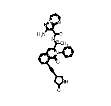 C[C@H](NC(=O)c1c(N)nn2cccnc12)c1cc2cccc(C#CC3CNC(=O)C3)c2c(=O)n1-c1ccccc1